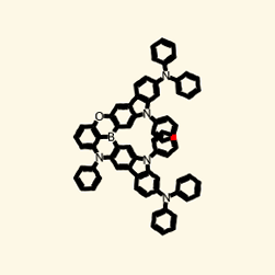 c1ccc(N(c2ccccc2)c2ccc3c4cc5c(cc4n(-c4ccccc4)c3c2)B2c3cc4c(cc3N(c3ccccc3)c3cccc(c32)O5)c2ccc(N(c3ccccc3)c3ccccc3)cc2n4-c2ccccc2)cc1